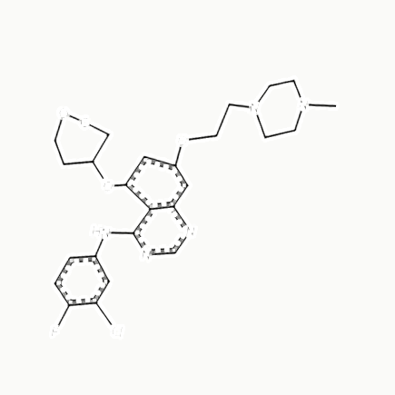 CN1CCN(CCOc2cc(OC3CCOCC3)c3c(Nc4ccc(F)c(Cl)c4)ncnc3c2)CC1